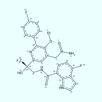 CCOc1c(CC(N)=O)cc([C@@](O)(CNC(=O)c2ccc(F)c3cc[nH]c23)C(F)(F)F)nc1-c1ccc(F)cc1